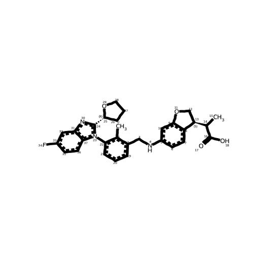 Cc1c(CNc2ccc3c(c2)OC[C@H]3C(C)C(=O)O)cccc1-n1c([C@H]2CCCO2)nc2cc(F)ccc21